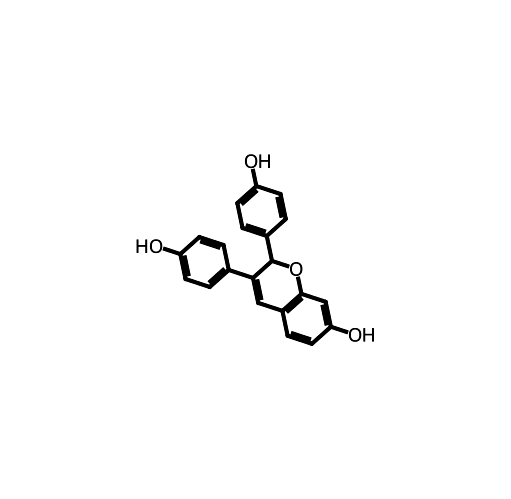 Oc1ccc(C2=Cc3ccc(O)cc3OC2c2ccc(O)cc2)cc1